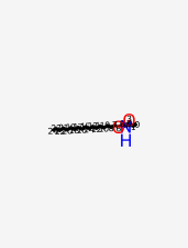 C=CC(=O)NCOCCCCCCCCCCCCCCCCCC